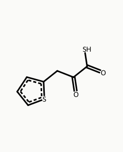 O=C(S)C(=O)Cc1cccs1